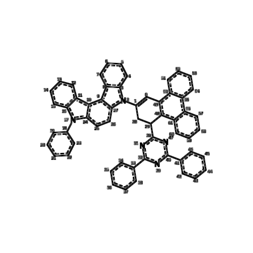 C1=C(n2c3ccccc3c3c4c5ccccc5n(-c5ccccc5)c4ccc32)CC(c2nc(-c3ccccc3)nc(-c3ccccc3)n2)c2c1c1ccccc1c1ccccc21